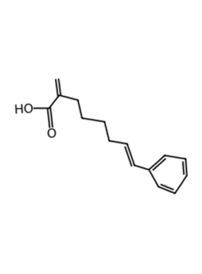 C=C(CCCCC=Cc1ccccc1)C(=O)O